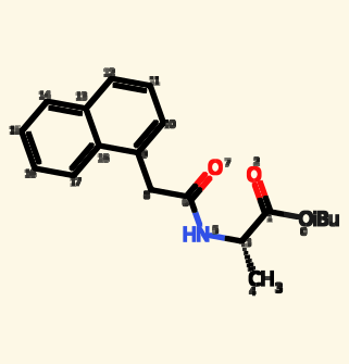 CC(C)COC(=O)[C@H](C)NC(=O)Cc1cccc2ccccc12